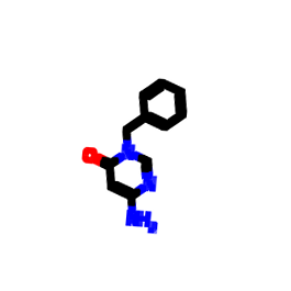 Nc1cc(=O)n(Cc2ccccc2)cn1